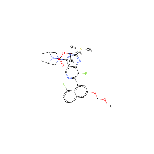 COCOc1cc(-c2ncc3c(N4CC5CCC(C4)N5C(=O)OC(C)(C)C)nc(SC)nc3c2F)c2c(F)cccc2c1